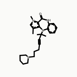 Cc1cn(C)c2c1N(C(C)(C)C#CCCCN1CCCCC1)c1ccccc1NC2=O